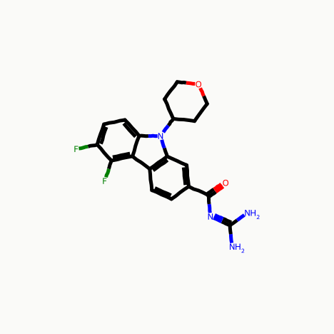 NC(N)=NC(=O)c1ccc2c3c(F)c(F)ccc3n(C3CCOCC3)c2c1